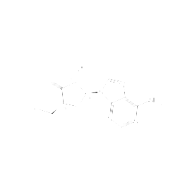 Nc1ncnc2c1ncn2[C@H]1O[C@@H](CO)C(=O)[C@@H]1O